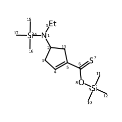 CCN(C1CC=C(C(=S)O[Si](C)(C)C)C1)[Si](C)(C)C